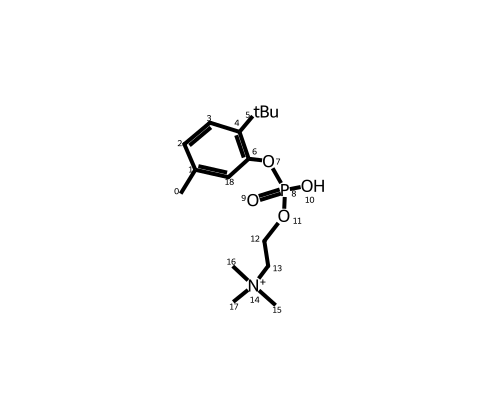 Cc1ccc(C(C)(C)C)c(OP(=O)(O)OCC[N+](C)(C)C)c1